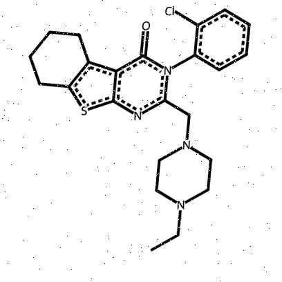 CCN1CCN(Cc2nc3sc4c(c3c(=O)n2-c2ccccc2Cl)CCCC4)CC1